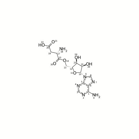 Nc1ncnc2c1ncn2[C@@H]1O[C@H](COC(=O)[C@@H](N)CC(=O)O)[C@@H](O)[C@H]1O